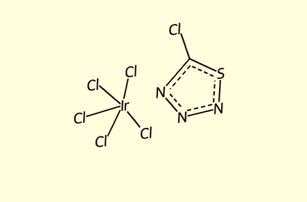 Clc1nnns1.[Cl][Ir]([Cl])([Cl])([Cl])[Cl]